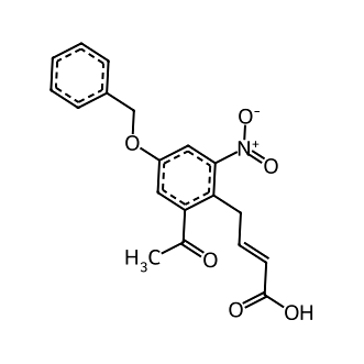 CC(=O)c1cc(OCc2ccccc2)cc([N+](=O)[O-])c1CC=CC(=O)O